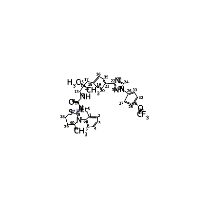 CCc1ccccc1N1/C(=N/C(=O)NCC(C)(C)Cc2ccc(-c3ncn(-c4ccc(OC(F)(F)F)cc4)n3)cc2)SCCC1C